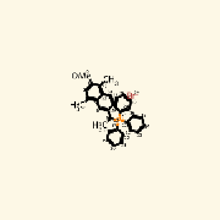 COc1cc(C)c2cc(C(C)[P+](c3ccccc3)(c3ccccc3)c3ccccc3)ccc2c1C.[Br-]